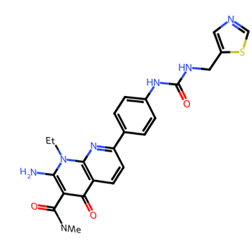 CCn1c(N)c(C(=O)NC)c(=O)c2ccc(-c3ccc(NC(=O)NCc4cncs4)cc3)nc21